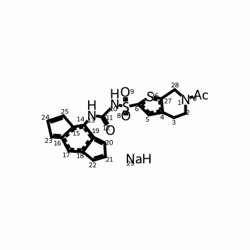 CC(=O)N1CCc2cc(S(=O)(=O)NC(=O)Nc3c4c(cc5c3=CC=C5)=CC=C4)sc2C1.[NaH]